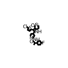 CC(C(=O)Nc1cc(-c2[nH]c3ccn(C)c(=O)c3c2-c2ccc(Cl)s2)ccn1)c1ccc(F)cc1